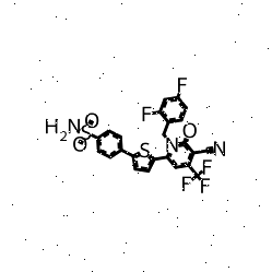 N#Cc1c(C(F)(F)F)cc(-c2ccc(-c3ccc(S(N)(=O)=O)cc3)s2)n(Cc2ccc(F)cc2F)c1=O